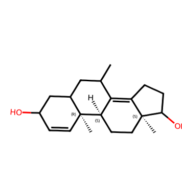 CC1CC2CC(O)C=C[C@]2(C)[C@@H]2CC[C@@]3(C)C(=C12)CCC3O